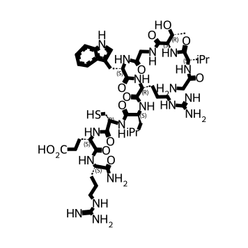 CC(C)C[C@H](NC(=O)[C@@H](CCCNC(=N)N)NC(=O)[C@H](Cc1c[nH]c2ccccc12)NC(=O)CNC(=O)[C@@H](NC(=O)[C@@H](NC(=O)CN)C(C)C)[C@@H](C)O)C(=O)N[C@@H](CS)C(=O)N[C@@H](CCC(=O)O)C(=O)N[C@@H](CCCNC(=N)N)C(N)=O